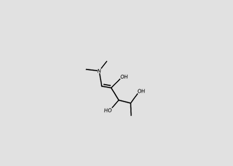 CC(O)C(O)/C(O)=C/N(C)C